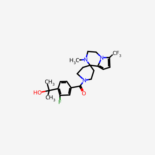 CN1CCn2c(C(F)(F)F)ccc2C12CCN(C(=O)c1ccc(C(C)(C)O)c(F)c1)CC2